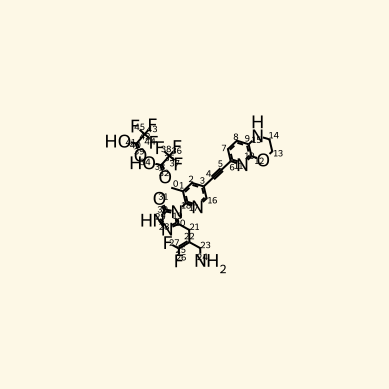 Cc1cc(C#Cc2ccc3c(n2)OCCN3)cnc1-n1c(CC(CN)=C(F)F)n[nH]c1=O.O=C(O)C(F)(F)F.O=C(O)C(F)(F)F